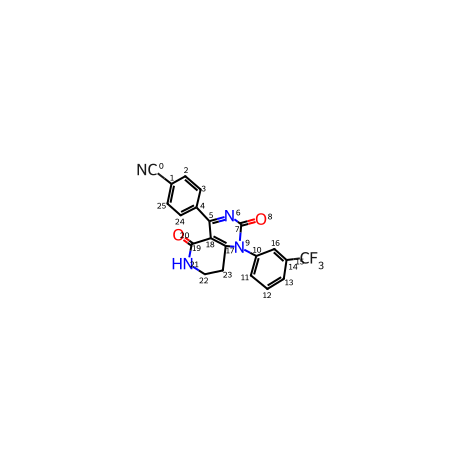 N#Cc1ccc(-c2nc(=O)n(-c3cccc(C(F)(F)F)c3)c3c2C(=O)NCC3)cc1